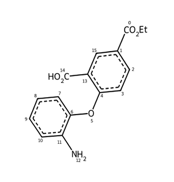 CCOC(=O)c1ccc(Oc2ccccc2N)c(C(=O)O)c1